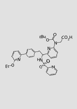 CCOc1cccc(-c2ccc(CC(NS(=O)(=O)c3ccccn3)c3cccc(N(CC(=O)O)C(=O)OC(C)(C)C)n3)cc2)n1